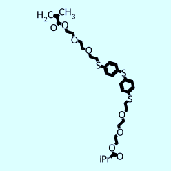 C=C(C)C(=O)OCCOCCOCCSc1ccc(Sc2ccc(SCCOCCOCCOC(=O)C(C)C)cc2)cc1